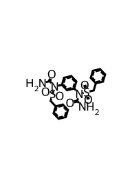 NC(=O)N(c1cccc(N(C(N)=O)S(=O)(=O)Cc2ccccc2)c1)S(=O)(=O)Cc1ccccc1